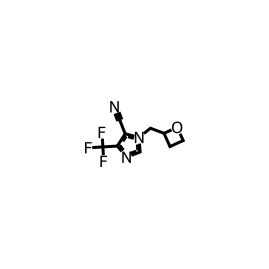 N#Cc1c(C(F)(F)F)ncn1CC1CCO1